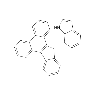 c1ccc2[nH]ccc2c1.c1ccc2c(c1)Cc1c-2c2ccccc2c2ccccc12